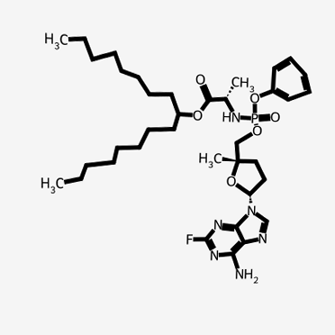 CCCCCCCCC(CCCCCCCC)OC(=O)[C@H](C)NP(=O)(OC[C@]1(C)CC[C@H](n2cnc3c(N)nc(F)nc32)O1)Oc1ccccc1